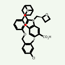 O=C(O)c1ccc2nc(CN3C4CC3CN(c3cccc(OCc5ccc(Cl)cc5F)n3)C4)n(C[C@@H]3CCO3)c2c1